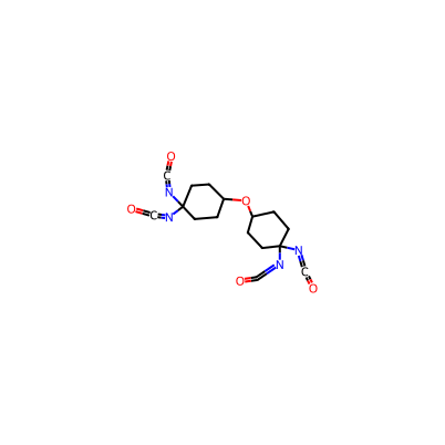 O=C=NC1(N=C=O)CCC(OC2CCC(N=C=O)(N=C=O)CC2)CC1